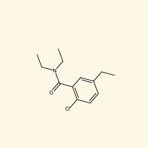 CCc1ccc(Cl)c(C(=O)N(CC)CC)c1